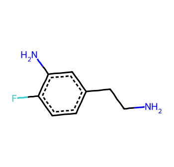 NCCc1ccc(F)c(N)c1